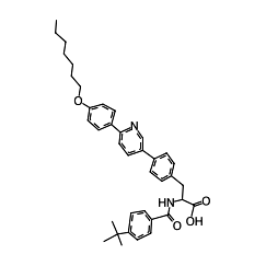 CCCCCCCOc1ccc(-c2ccc(-c3ccc(CC(NC(=O)c4ccc(C(C)(C)C)cc4)C(=O)O)cc3)cn2)cc1